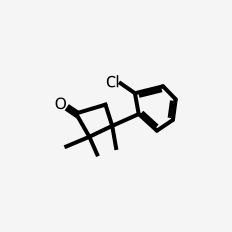 CC1(C)C(=O)CC1(C)c1ccccc1Cl